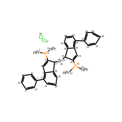 CCCP(CCC)C1=Cc2c(-c3ccccc3)cccc2[CH]1[Zr+2][CH]1C(P(CCC)CCC)=Cc2c(-c3ccccc3)cccc21.[Cl-].[Cl-]